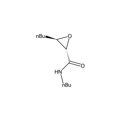 CCCCNC(=O)[C@H]1O[C@@H]1CCCC